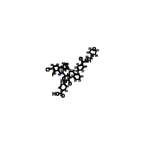 O=C(O)c1ccc(NC(=O)C2c3cccc(-c4ccc(C(=O)NCCN5CCOCC5)cc4)c3CCN2C(=O)/C=C/c2c(-n3cnnn3)ccc(Cl)c2F)cc1